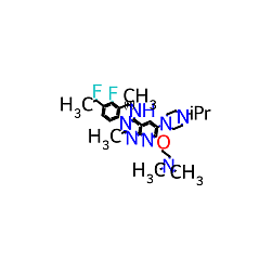 Cc1nc(N[C@H](C)c2cccc(C(C)F)c2F)c2cc(N3CCN(C(C)C)CC3)c(OCCN(C)C)nc2n1